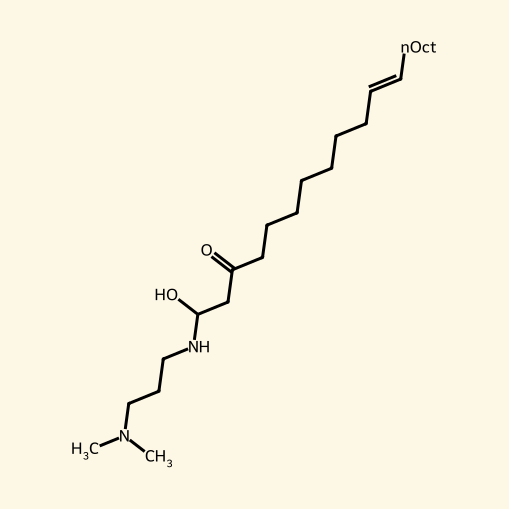 CCCCCCCCC=CCCCCCCCC(=O)CC(O)NCCCN(C)C